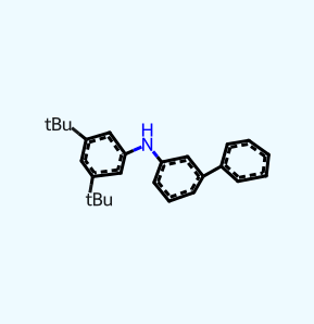 CC(C)(C)c1cc(Nc2cccc(-c3ccccc3)c2)cc(C(C)(C)C)c1